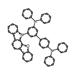 c1ccc(N(c2ccccc2)c2ccc(-c3cc(N(c4ccccc4)c4ccccc4)cc(-n4c5ccccc5c5ccc6c7ccccc7oc6c54)c3)cc2)cc1